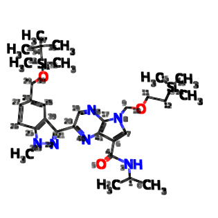 CC(C)NC(=O)c1cn(COCC[Si](C)(C)C)c2ncc(-c3nn(C)c4ccc(CO[Si](C)(C)C(C)(C)C)cc34)nc12